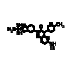 BC(S)(S)n1cc2cc(-n3nc4ccc(NCC)nc4c(-c4ccc(C)nc4)c3=O)ccc2n1